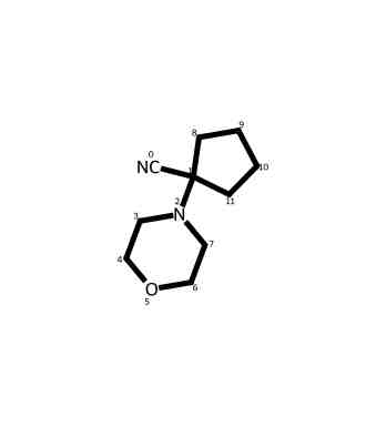 N#CC1(N2CCOCC2)CCCC1